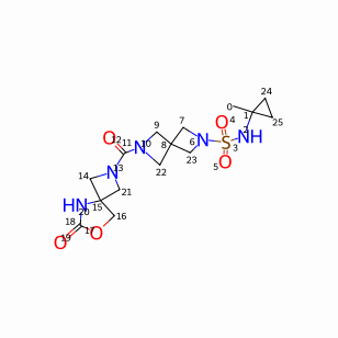 CC1(NS(=O)(=O)N2CC3(CN(C(=O)N4CC5(COC(=O)N5)C4)C3)C2)CC1